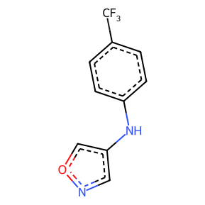 FC(F)(F)c1ccc(Nc2cnoc2)cc1